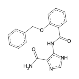 NC(=O)c1nc[nH]c1NC(=O)c1ccccc1OCc1ccccc1